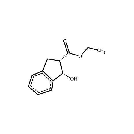 CCOC(=O)[C@H]1Cc2ccccc2[C@H]1O